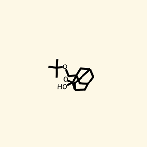 CC(C)(C)OC(=O)C12CC3CC(CC(C3)C1(C)O)C2